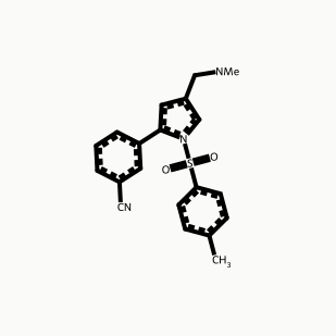 CNCc1cc(-c2cccc(C#N)c2)n(S(=O)(=O)c2ccc(C)cc2)c1